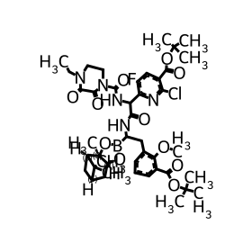 CCN1CCN(C(=O)NC(C(=O)NC(Cc2cccc(C(=O)OC(C)(C)C)c2OC)B2O[C@@H]3C[C@@H]4C[C@@H](C4(C)C)[C@]3(C)O2)c2nc(Cl)c(C(=O)OC(C)(C)C)cc2F)C(=O)C1=O